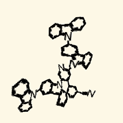 N#Cc1cccc(-c2cc(-n3c4ccccc4c4cc(-n5c6ccccc6c6ccccc65)ccc43)ncc2-n2c3ccccc3c3cc(-n4c5ccccc5c5ccccc54)ccc32)c1